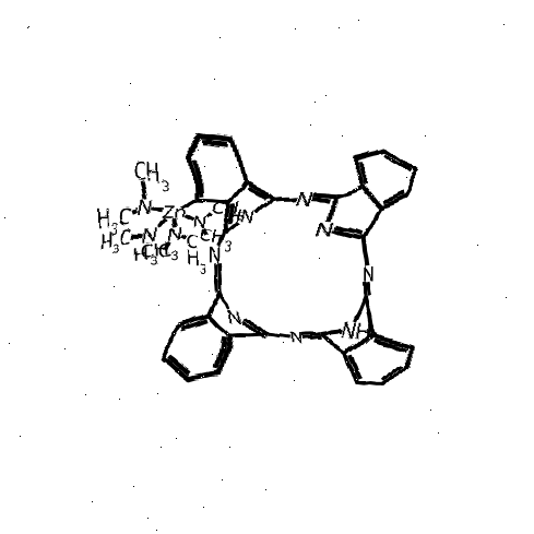 C[N](C)[Zn]([c]1cccc2c3nc4nc(nc5[nH]c(nc6nc(nc([nH]3)c12)-c1ccccc1-6)c1ccccc51)-c1ccccc1-4)([N](C)C)([N](C)C)[N](C)C